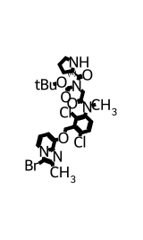 Cc1nc2c(OCc3c(Cl)ccc(N(C)C(=O)CN(C(=O)OC(C)(C)C)C(=O)[C@H]4CCCN4)c3Cl)cccn2c1Br